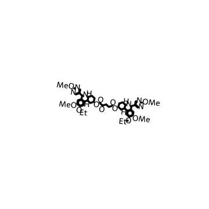 CCOc1cc2c(cc1OC)C(c1cnc(OC)nc1)=N[C@@H]1CC[C@@H](OC(=O)CCC(=O)C(=O)O[C@@H]3CC[C@H]4N=C(c5cnc(OC)nc5)c5cc(OC)c(OCC)cc5[C@H]4C3)C[C@H]21